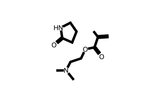 C=C(C)C(=O)OCCN(C)C.O=C1CCCN1